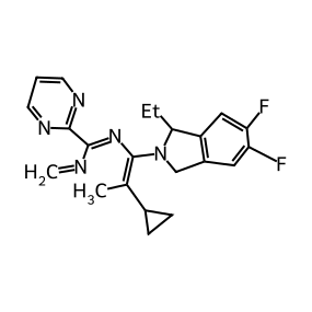 C=N/C(=N\C(=C(/C)C1CC1)N1Cc2cc(F)c(F)cc2C1CC)c1ncccn1